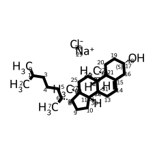 CC(C)CCCC(C)[C@H]1CC[C@H]2[C@@H]3CC=C4C[C@@H](O)CC[C@]4(C)[C@H]3CC[C@]12C.[Cl-].[Na+]